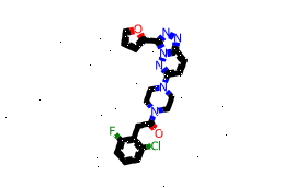 O=C(Cc1c(F)cccc1Cl)N1CCN(c2ccc3nnc(-c4ccco4)n3n2)CC1